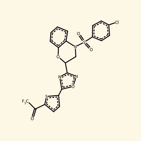 O=C(c1ccc(-c2nc(C3CN(S(=O)(=O)c4ccc(Cl)cc4)c4ccccc4O3)no2)s1)C(F)(F)F